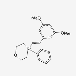 COc1cc(/C=C/[N+]2(c3ccccc3)CCOCC2)cc(OC)c1